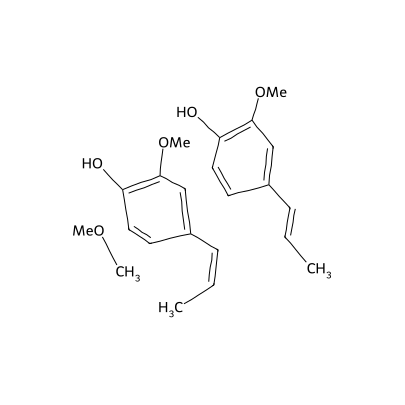 C/C=C/c1ccc(O)c(OC)c1.C/C=C\c1ccc(O)c(OC)c1.COC